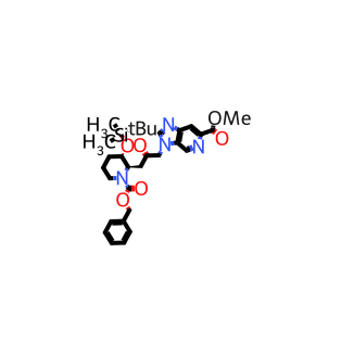 COC(=O)c1cc2ncn(CC(=O)C[C@@H]3[C@@H](O[Si](C)(C)C(C)(C)C)CCCN3C(=O)OCc3ccccc3)c2cn1